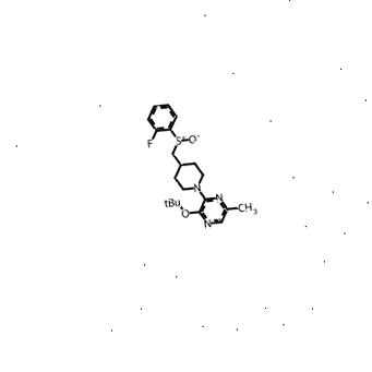 Cc1cnc(OC(C)(C)C)c(N2CCC(C[S+]([O-])c3ccccc3F)CC2)n1